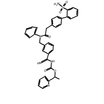 CC(OC(=O)NC(=N)c1cccc(CN(C(=O)Cc2ccc(-c3ccccc3S(N)(=O)=O)cc2)c2ccccc2)c1)c1ccccn1